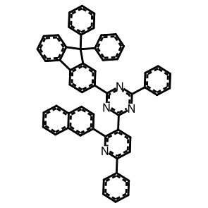 c1ccc(-c2ccc(-c3nc(-c4ccccc4)nc(-c4ccc5c(c4)C(c4ccccc4)(c4ccccc4)c4ccccc4-5)n3)c(-c3ccc4ccccc4c3)n2)cc1